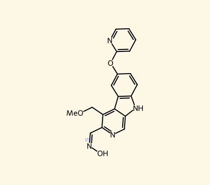 COCc1c(/C=N\O)ncc2[nH]c3ccc(Oc4ccccn4)cc3c12